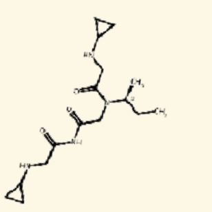 CC[C@H](C)N(CC(=O)NC(=O)CNC1CC1)C(=O)CNC1CC1